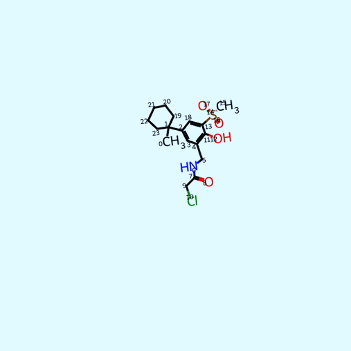 CC1(c2cc(CNC(=O)CCl)c(O)c(S(C)(=O)=O)c2)CCCCC1